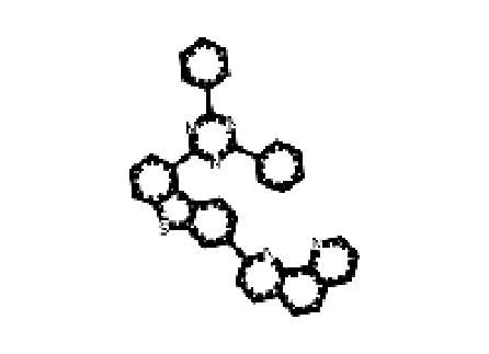 c1ccc(-c2nc(-c3ccccc3)nc(-c3cccc4sc5cc(-c6ccc7ccc8cccnc8c7n6)ccc5c34)n2)cc1